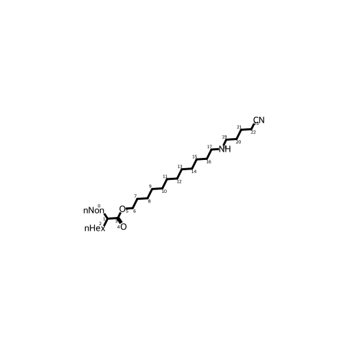 CCCCCCCCCC(CCCCCC)C(=O)OCCCCCCCCCCCCNCCCCC#N